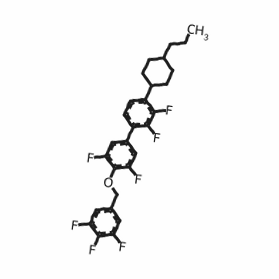 CCCC1CCC(c2ccc(-c3cc(F)c(OCc4cc(F)c(F)c(F)c4)c(F)c3)c(F)c2F)CC1